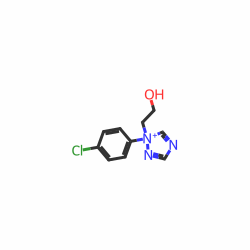 OCC[N+]1(c2ccc(Cl)cc2)C=NC=N1